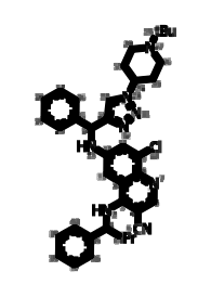 CC(C)C(Nc1c(C#N)cnc2c(Cl)cc(NC(c3ccccc3)c3cn(C4CCN(C(C)(C)C)CC4)nn3)cc12)c1ccccc1